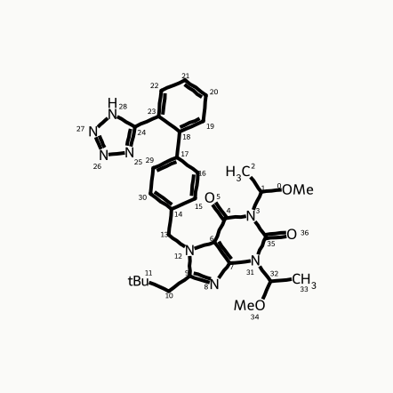 COC(C)n1c(=O)c2c(nc(CC(C)(C)C)n2Cc2ccc(-c3ccccc3-c3nnn[nH]3)cc2)n(C(C)OC)c1=O